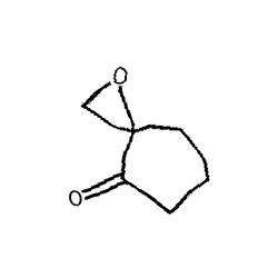 O=C1CCCC12CO2